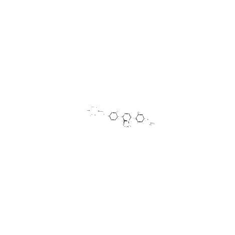 CC1CCC(COc2ccc(-c3ccc(-c4ccc(OC(F)F)cc4F)c4nsnc34)c(F)c2)CC1